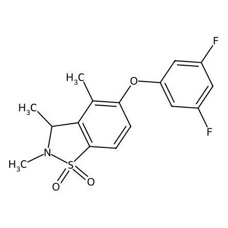 Cc1c(Oc2cc(F)cc(F)c2)ccc2c1C(C)N(C)S2(=O)=O